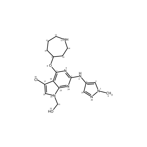 Cn1cc(Nc2nc(OC3CCCNCC3)c3c(Cl)cn(CO)c3n2)cn1